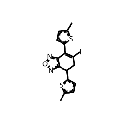 Cc1ccc(C2=C(I)CC(c3ccc(C)s3)c3nonc32)s1